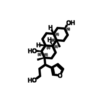 C[C@]12CC[C@H](O)C[C@H]1CC[C@@H]1[C@@H]2CC[C@](C)(C(CCO)c2ccoc2)[C@H]1O